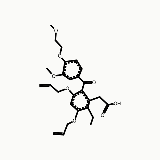 C=CCOc1cc(OCC=C)c(C(=O)c2ccc(OCCOC)c(OC)c2)c(CC(=O)O)c1CC